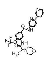 CC(C(=O)Nc1cc(C(=O)Nc2ccc(-c3cccnc3)nc2)ccc1OC(F)(F)F)N1CCOCC1